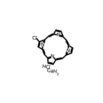 Cl.ClC1=CC2=CC3=NC(=CC4=NC(=CC5=NC(=CC1=N2)C=C5)C=C4)C=C3.[GaH3]